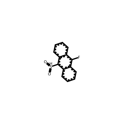 O=[SH](=O)c1c2ccccc2c(F)c2ccccc12